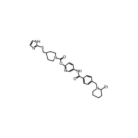 CCC1CCCCN1Cc1ccc(C(=O)Nc2ccc(OC(=O)N3CCC(CSc4ncc[nH]4)CC3)nc2)cc1